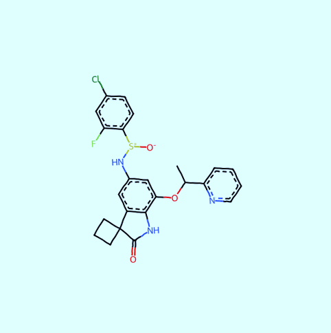 CC(Oc1cc(N[S+]([O-])c2ccc(Cl)cc2F)cc2c1NC(=O)C21CCC1)c1ccccn1